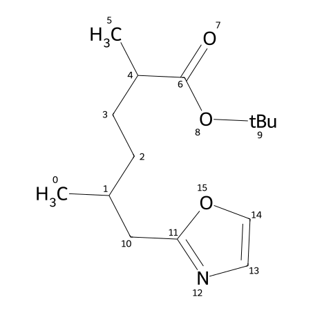 CC(CCC(C)C(=O)OC(C)(C)C)Cc1ncco1